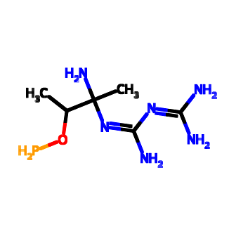 CC(OP)C(C)(N)/N=C(/N)N=C(N)N